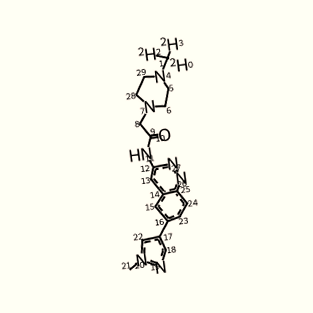 [2H]C([2H])([2H])N1CCN(CC(=O)Nc2cc3cc(-c4cnn(C)c4)ccc3nn2)CC1